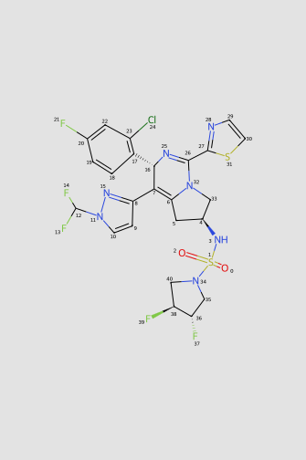 O=S(=O)(N[C@H]1CC2=C(c3ccn(C(F)F)n3)[C@H](c3ccc(F)cc3Cl)N=C(c3nccs3)N2C1)N1C[C@H](F)[C@@H](F)C1